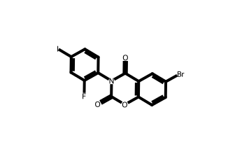 O=c1oc2ccc(Br)cc2c(=O)n1-c1ccc(I)cc1F